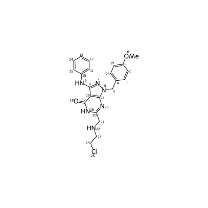 COc1ccc(Cn2nc(Nc3ccccc3)c3c(=O)[nH]c(CNCCCl)nc32)cc1